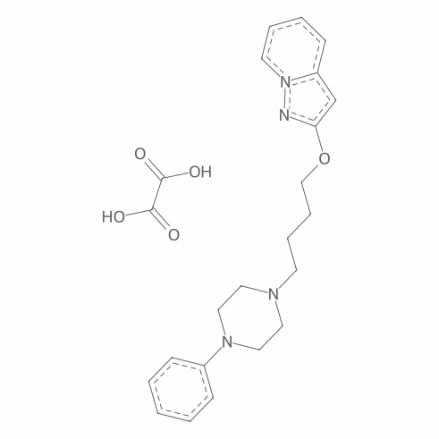 O=C(O)C(=O)O.c1ccc(N2CCN(CCCCOc3cc4ccccn4n3)CC2)cc1